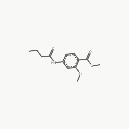 CCCC(=O)Nc1ccc(C(=O)OC)c(OC)c1